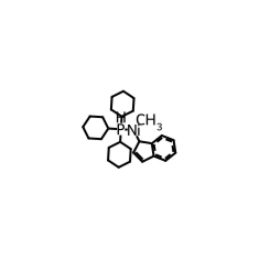 [CH3][Ni]([CH]1C=Cc2ccccc21)[PH](C1CCCCC1)(C1CCCCC1)C1CCCCC1